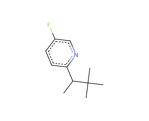 CC(c1ccc(F)cn1)C(C)(C)C